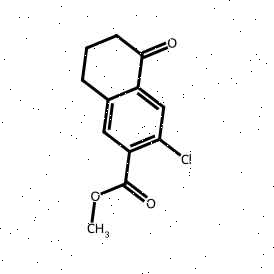 COC(=O)c1cc2c(cc1Cl)C(=O)CCC2